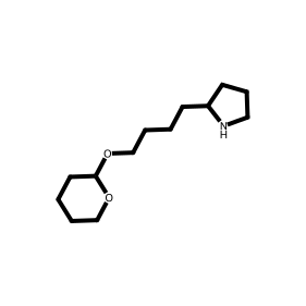 C(CCC1CCCN1)COC1CCCCO1